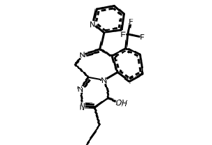 CCC1=NN=C2CN=C(c3ccccn3)c3c(cccc3C(F)(F)F)N2C1O